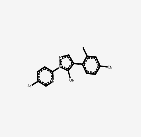 CC(=O)c1ccc(-n2ncc(-c3ccc(C#N)cc3C)c2O)nc1